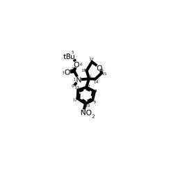 CN(C(=O)OC(C)(C)C)C1(c2ccc([N+](=O)[O-])cc2)CCOCC1